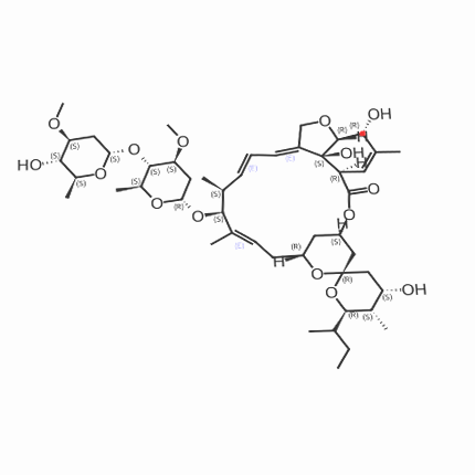 CCC(C)[C@H]1O[C@@]2(C[C@@H]3C[C@@H](C/C=C(\C)[C@@H](O[C@H]4C[C@H](OC)[C@@H](O[C@H]5C[C@H](OC)[C@@H](O)[C@H](C)O5)[C@H](C)O4)[C@@H](C)/C=C/C=C4\CO[C@@H]5[C@H](O)C(C)=C[C@@H](C(=O)O3)[C@]45O)O2)C[C@H](O)[C@@H]1C